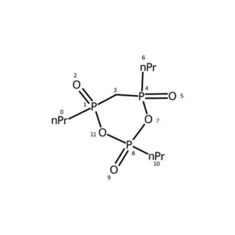 CCCP1(=O)CP(=O)(CCC)OP(=O)(CCC)O1